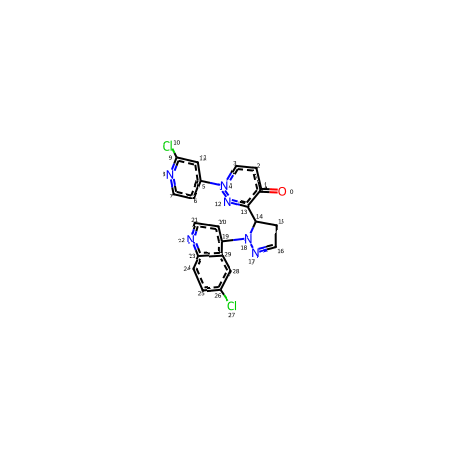 O=c1ccn(-c2ccnc(Cl)c2)nc1C1CC=NN1c1ccnc2ccc(Cl)cc12